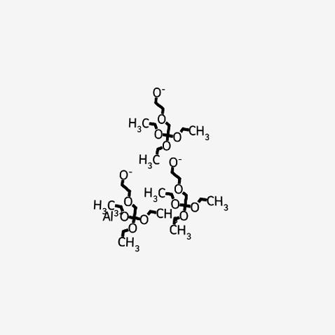 CCOC(COCC[O-])(OCC)OCC.CCOC(COCC[O-])(OCC)OCC.CCOC(COCC[O-])(OCC)OCC.[Al+3]